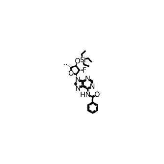 [CH2][C@H]1O[C@@H](n2cnc3c(NC(=O)c4ccccc4)ncnc32)[C@H](F)[C@@H]1O[Si](CC)(CC)CC